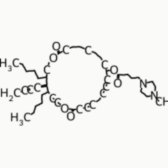 C=C=C=C=C1C(CCCCC)CCOC(=O)CCCCCCCC(OC(=O)CCCN2CCN(C)CC2)CCCCCCCC(=O)OCCC1CCCCC